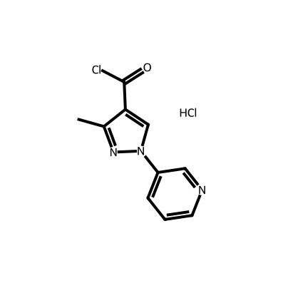 Cc1nn(-c2cccnc2)cc1C(=O)Cl.Cl